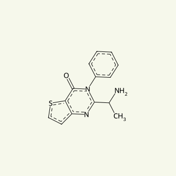 CC(N)c1nc2ccsc2c(=O)n1-c1ccccc1